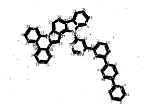 c1ccc(-c2ccc(-c3cccc(-c4cc(-n5c6ccccc6c6ccc7c(cc8c9ccccc9c9ccccc9n87)c65)ncn4)c3)cc2)cc1